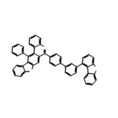 c1ccc(-c2c3c(cc4c(-c5ccc(-c6cccc(-c7cccc8oc9ccccc9c78)c6)cc5)nc5ccccc5c24)oc2ccccc23)cc1